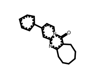 O=c1c2c(nc3cc(-c4ccccc4)ccn13)CCCCCC2